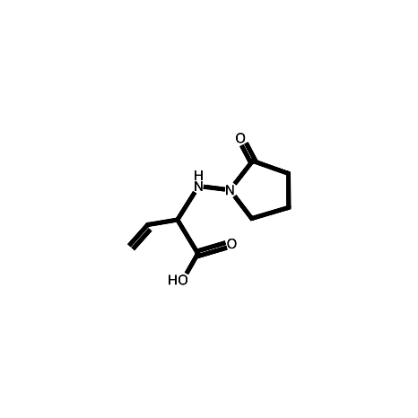 C=CC(NN1CCCC1=O)C(=O)O